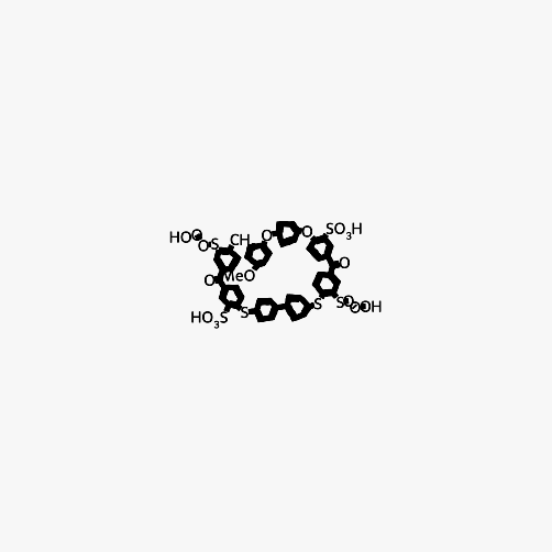 COc1ccc(Oc2ccc(Oc3ccc(C(=O)c4ccc(Sc5ccc(-c6ccc(Sc7ccc(C(=O)c8ccc(C)c(SOOO)c8)cc7S(=O)(=O)O)cc6)cc5)c(SOOO)c4)cc3S(=O)(=O)O)cc2)cc1